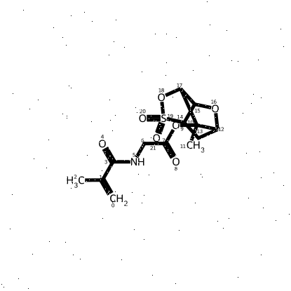 C=C(C)C(=O)NCC(=O)OC1(C)C2CC3C(O2)C1OS3(=O)=O